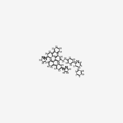 c1ccc(-c2ccnc(-c3ccc(CCc4cc(-c5ccccc5-c5ccc(-n6cccn6)cc5)cc(-c5ccccc5-c5ccc(-n6cccn6)cc5)c4)cc3)c2)cc1